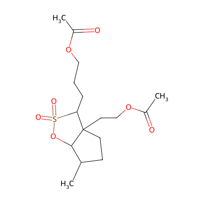 CC(=O)OCCCC1C2(CCOC(C)=O)CCC(C)C2OS1(=O)=O